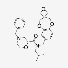 CC(C)CN(Cc1ccc2c(c1)OCC1(COC1)CO2)C(=O)C1CN(Cc2ccccc2)CCO1